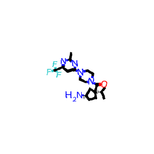 Cc1nc(N2CCN(C(=O)[C@@]3(C(C)C)CC[C@@H](N)C3)CC2)cc(C(F)(F)F)n1